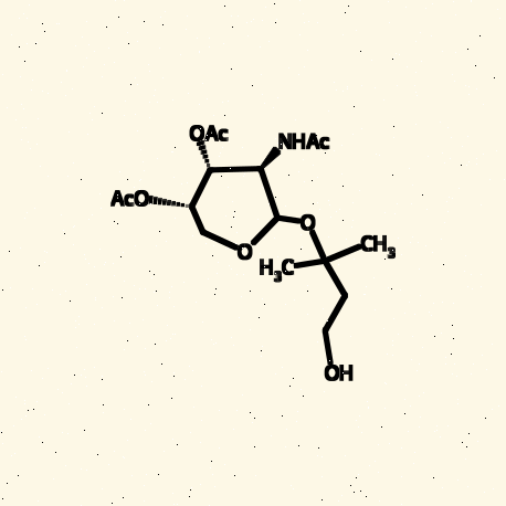 CC(=O)N[C@H]1C(OC(C)(C)CCO)OC[C@H](OC(C)=O)[C@@H]1OC(C)=O